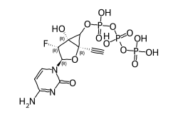 C#C[C@]12O[C@@H](n3ccc(N)nc3=O)[C@H](F)[C@@]1(O)C2OP(=O)(O)OP(=O)(O)OP(=O)(O)O